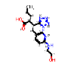 CCC[C@H](C(=O)O)[C@H](Cc1ccc(NCCO)nc1)c1nnn[nH]1